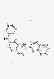 Nc1ccc(Nc2cccnc2)nc1NCc1ccc2c(c1)C=CCN2